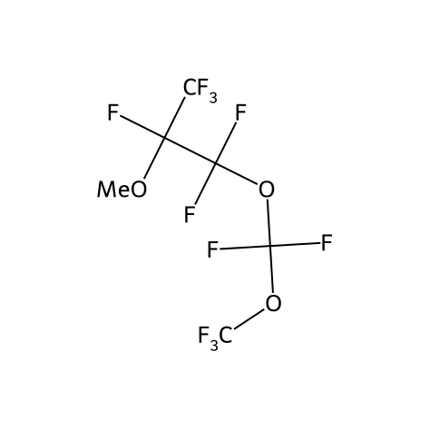 COC(F)(C(F)(F)F)C(F)(F)OC(F)(F)OC(F)(F)F